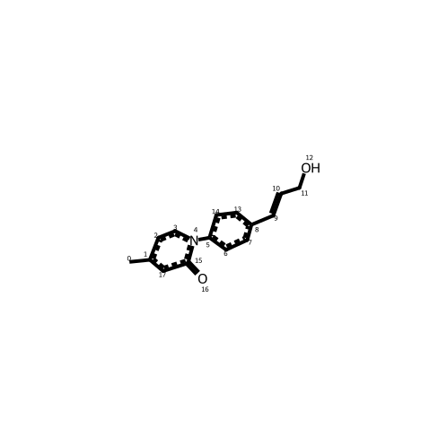 Cc1ccn(-c2ccc(/C=C/CO)cc2)c(=O)c1